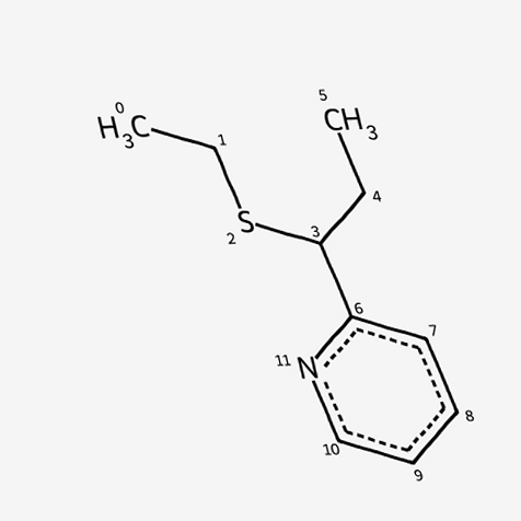 CCSC(CC)c1ccccn1